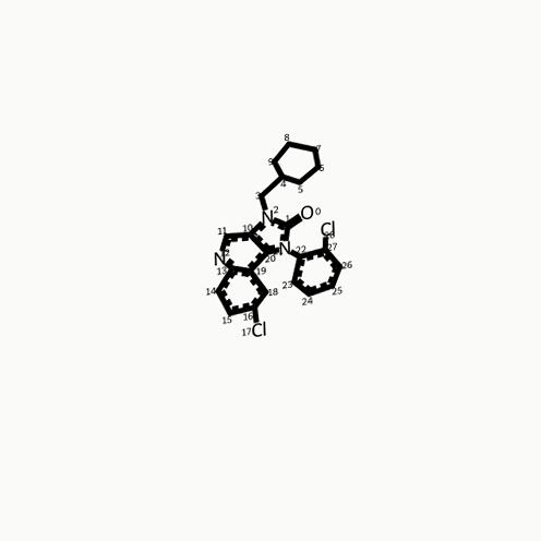 O=c1n(CC2CCCCC2)c2cnc3ccc(Cl)cc3c2n1-c1ccccc1Cl